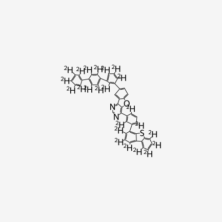 [2H]c1cc([2H])c(-c2c([2H])c([2H])c([2H])c3c2sc2c([2H])c([2H])c([2H])c([2H])c23)c([2H])c1-c1ncnc2c1oc1ccc(-c3c([2H])c([2H])c([2H])c(-c4c([2H])c([2H])c(-c5c([2H])c([2H])c([2H])c([2H])c5[2H])c([2H])c4[2H])c3[2H])cc12